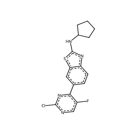 Fc1cnc(Cl)nc1-c1ccc2nc(NC3CCCC3)sc2c1